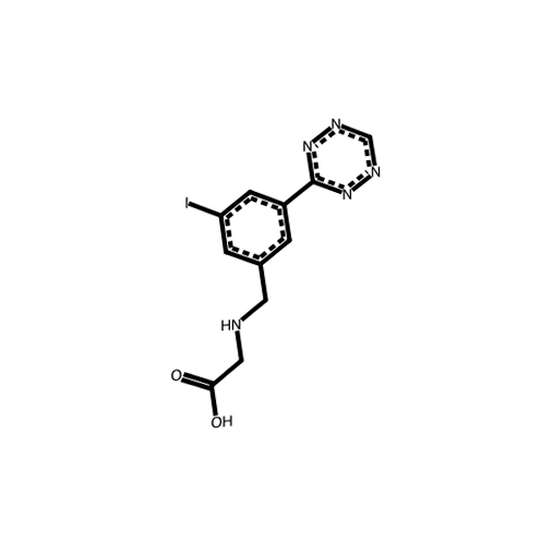 O=C(O)CNCc1cc(I)cc(-c2nncnn2)c1